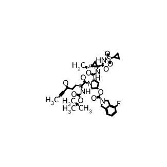 C=C[C@@H]1C[C@]1(NC(=O)[C@@H]1CC(OC(=O)N2Cc3cccc(F)c3C2)CN1C(=O)[C@H](CCC(=O)C#CC)NC(=O)OC(C)(C)C)C(=O)NS(=O)(=O)C1CC1